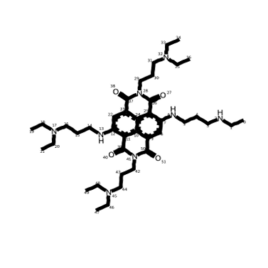 CCNCCCNc1cc2c3c(c(NCCCN(CC)CC)cc4c3c1C(=O)N(CCCN(CC)CC)C4=O)C(=O)N(CCCN(CC)CC)C2=O